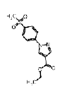 CCOC(=O)c1cnn(-c2ccc(S(C)(=O)=O)cc2)c1